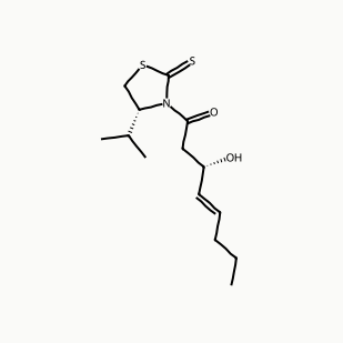 CCC/C=C/[C@@H](O)CC(=O)N1C(=S)SC[C@H]1C(C)C